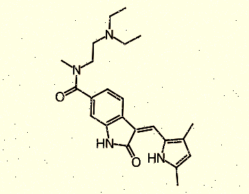 CCN(CC)CCN(C)C(=O)c1ccc2c(c1)NC(=O)/C2=C\c1[nH]c(C)cc1C